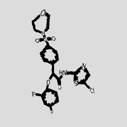 O=C(Nc1ncc(Cl)s1)C(Oc1ccc(F)cc1F)c1ccc(S(=O)(=O)N2CCOCC2)cc1